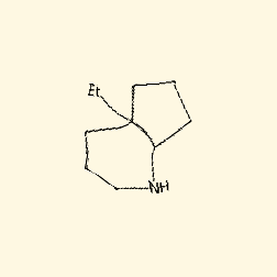 CCC12CCCNC1CCC2